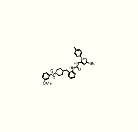 COc1cccc(S(=O)(=O)N2CCC(Cc3ccccc3NC(=O)Nc3cc(C(C)(C)C)nn3-c3ccc(C)cc3)CC2)c1